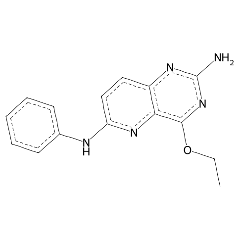 CCOc1nc(N)nc2ccc(Nc3ccccc3)nc12